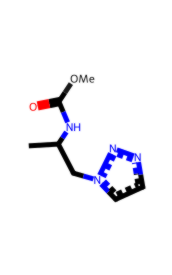 COC(=O)NC(C)Cn1ccnn1